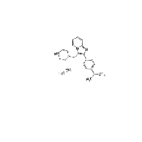 CC(C)c1ccc(-c2nc3ccccn3c2CN2CCNCC2)cc1.Cl.Cl